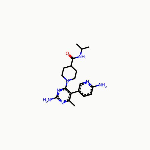 Cc1nc(N)nc(N2CCC(C(=O)NC(C)C)CC2)c1-c1ccc(N)nc1